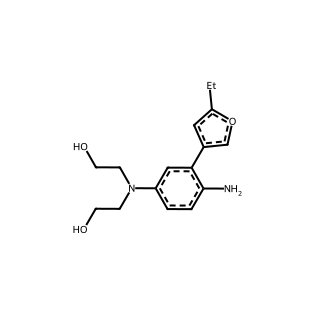 CCc1cc(-c2cc(N(CCO)CCO)ccc2N)co1